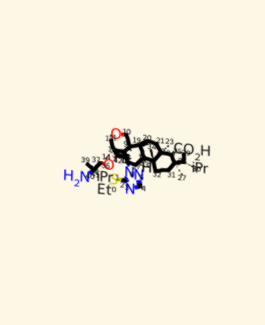 CCSc1ncnn1[C@@H]1C[C@@]23COC[C@@](C)([C@@H]2CC[C@H]2C3=CC[C@@]3(C)[C@H](C(=O)O)[C@@](C)([C@H](C)C(C)C)CC[C@]23C)[C@H]1OC[C@](C)(N)C(C)C